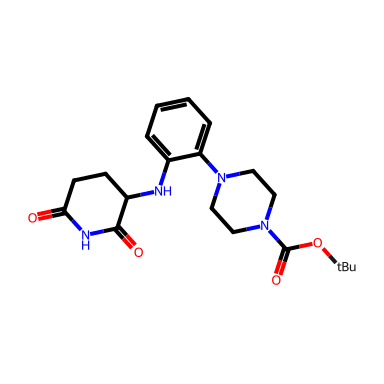 CC(C)(C)OC(=O)N1CCN(c2ccccc2NC2CCC(=O)NC2=O)CC1